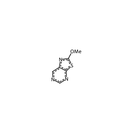 COc1nc2cncnc2s1